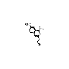 CC(C)CCc1nc(N(C)C)c2cc(C=O)ccc2n1